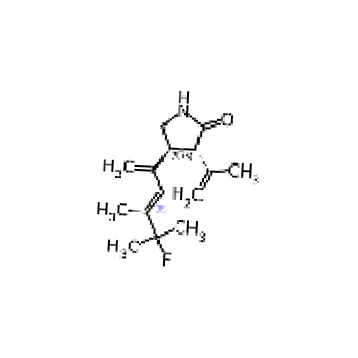 C=C(C)[C@H]1C(=O)NC[C@@H]1C(=C)/C=C(\C)C(C)(C)F